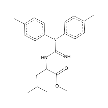 COC(=O)C(CC(C)C)NC(=N)N(c1ccc(C)cc1)c1ccc(C)cc1